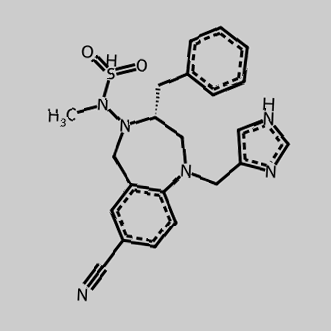 CN(N1Cc2cc(C#N)ccc2N(Cc2c[nH]cn2)C[C@H]1Cc1ccccc1)[SH](=O)=O